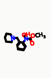 COC(=O)N(O)c1ccccc1CN1CCCCC1